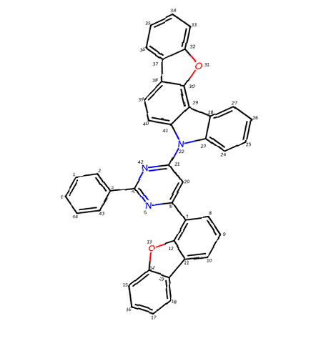 c1ccc(-c2nc(-c3cccc4c3oc3ccccc34)cc(-n3c4ccccc4c4c5oc6ccccc6c5ccc43)n2)cc1